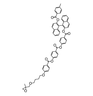 Cc1ccc(C(=O)Oc2ccc3ccccc3c2-c2c(OC(=O)c3ccc(OC(=O)c4ccc(OC(=O)c5ccc(OCCCCOCC6(C)CO6)cc5)cc4)cc3)ccc3ccccc23)cc1